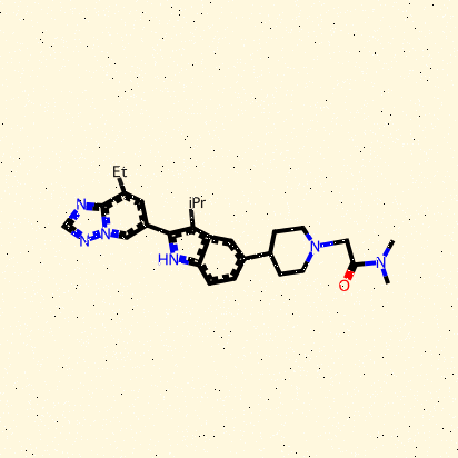 CCc1cc(-c2[nH]c3ccc(C4CCN(CC(=O)N(C)C)CC4)cc3c2C(C)C)cn2ncnc12